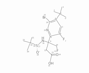 CC(C)(C)c1cc(F)c(C(CF)(CC(=O)O)N[S@+]([O-])C(C)(C)C)nc1Br